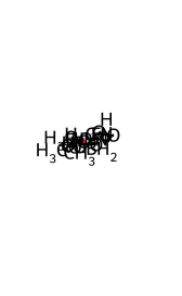 B[C@]1(CO[PH](=O)N[C@@H](C)C(=O)OC(C)C)O[C@@H](n2ccc(=O)[nH]c2=O)[C@](C)(F)[C@@H]1O